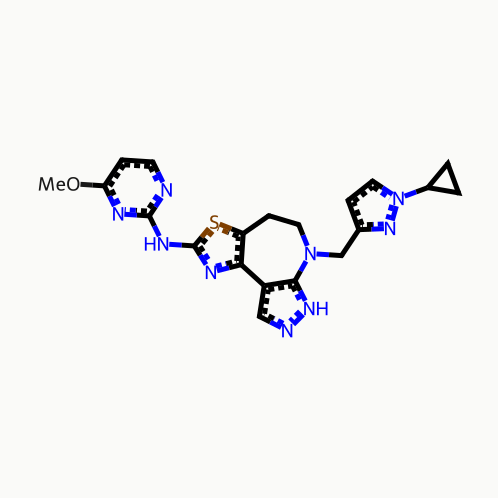 COc1ccnc(Nc2nc3c(s2)CCN(Cc2ccn(C4CC4)n2)c2[nH]ncc2-3)n1